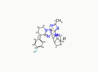 Cc1nsc(N2CC3CC[C@H](C2)C3Nc2nc3n(n2)CCCC3c2ccc(F)cc2)n1